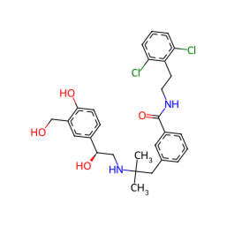 CC(C)(Cc1cccc(C(=O)NCCc2c(Cl)cccc2Cl)c1)NC[C@@H](O)c1ccc(O)c(CO)c1